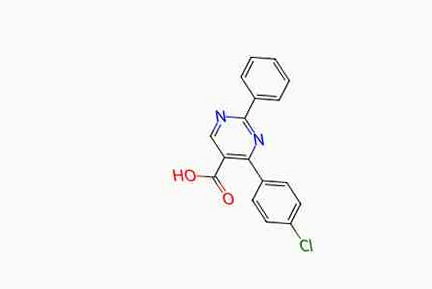 O=C(O)c1cnc(-c2ccccc2)nc1-c1ccc(Cl)cc1